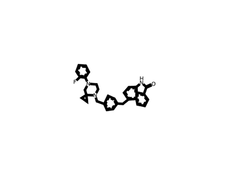 O=C1Nc2ccc(Cc3ccc(CN4CCN(c5ccccc5F)CC45CC5)cc3)c3cccc1c23